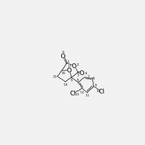 O=C1OC(=O)C2(c3ccc(Cl)cc3Cl)CCC1O2